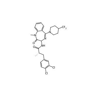 C[C@@H](Cc1ccc(Cl)c(Cl)c1)C(=O)NC1N=C(N2CCC(C(F)(F)F)CC2)c2ccccc2N(C)C1=O